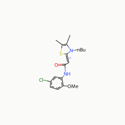 CCCCN1C(C)=C(C)S/C1=C\C(=O)Nc1cc(Cl)ccc1OC